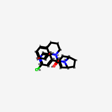 O=C(N1CCCc2ccccc21)N1C2C=C(c3ccnc(Cl)c3)CC1CC2